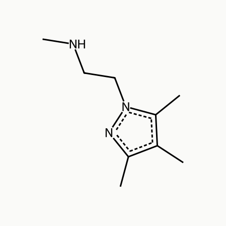 CNCCn1nc(C)c(C)c1C